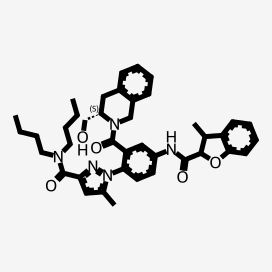 CCCCN(CCCC)C(=O)c1cc(C)n(-c2ccc(NC(=O)C3Oc4ccccc4C3C)cc2C(=O)N2Cc3ccccc3C[C@H]2CO)n1